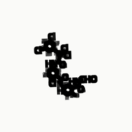 Cc1ccc(NC(=O)c2cc(NC(=O)C3C(c4cc(Cl)cc(Cl)c4)C3(Cl)Cl)ccc2Cl)cc1C(=O)NC=O